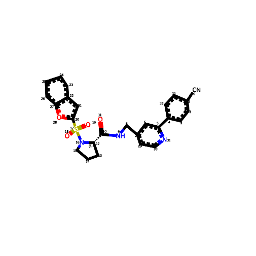 N#Cc1ccc(-c2cc(CNC(=O)[C@@H]3CCCN3S(=O)(=O)c3cc4ccccc4o3)ccn2)cc1